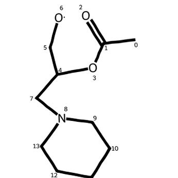 CC(=O)OC(C[O])CN1CCCCC1